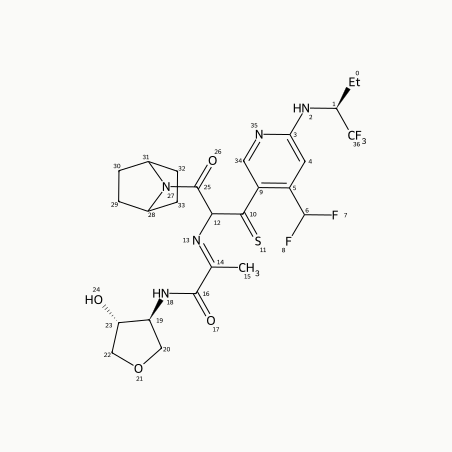 CC[C@H](Nc1cc(C(F)F)c(C(=S)C(/N=C(\C)C(=O)N[C@H]2COC[C@@H]2O)C(=O)N2C3CCC2CC3)cn1)C(F)(F)F